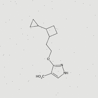 O=C(O)c1c[nH]nc1OCCC1CCC1C1CC1